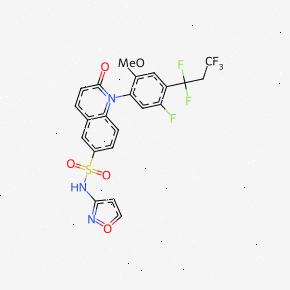 COc1cc(C(F)(F)CC(F)(F)F)c(F)cc1-n1c(=O)ccc2cc(S(=O)(=O)Nc3ccon3)ccc21